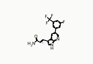 NC(=O)/C=C/c1c[nH]c2ncc(-c3cc(F)cc(C(F)(F)F)c3)cc12